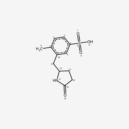 Cc1ccc(S(=O)(=O)O)cc1CC1CCC(=O)N1